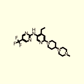 CCc1cc(N2CCC(N3CCN(C)CC3)CC2)ncc1Nc1ncc(C(F)(F)F)cn1